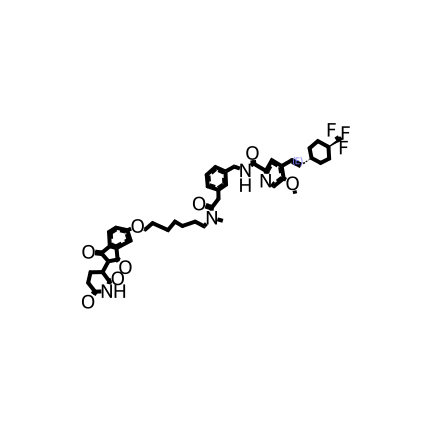 COc1cnc(C(=O)NCc2cccc(CC(=O)N(C)CCCCCCCOc3ccc4c(c3)C(=O)C(C3CCC(=O)NC3=O)C4=O)c2)cc1/C=C/[C@H]1CC[C@H](C(F)(F)F)CC1